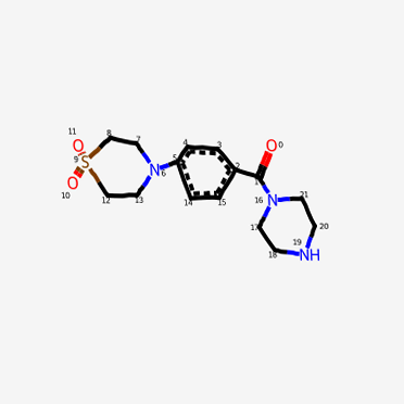 O=C(c1ccc(N2CCS(=O)(=O)CC2)cc1)N1CCNCC1